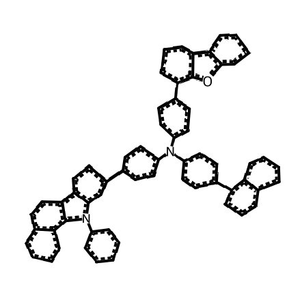 c1ccc(-n2c3cc(-c4ccc(N(c5ccc(-c6cccc7ccccc67)cc5)c5ccc(-c6cccc7c6oc6ccccc67)cc5)cc4)ccc3c3ccc4ccccc4c32)cc1